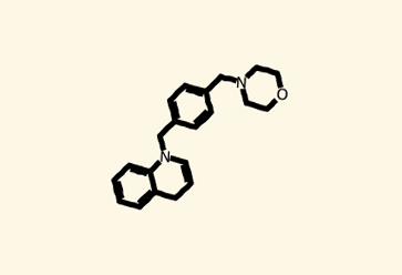 C1=CN(Cc2ccc(CN3CCOCC3)cc2)c2ccccc2C1